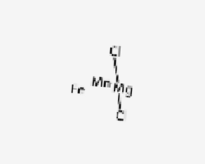 [Cl][Mg][Cl].[Fe].[Mn]